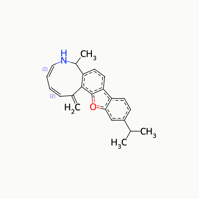 C=C1/C=C\C=C/NC(C)c2ccc3c(oc4cc(C(C)C)ccc43)c21